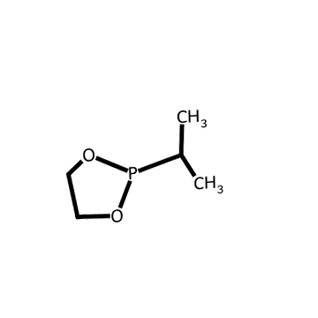 CC(C)P1OCCO1